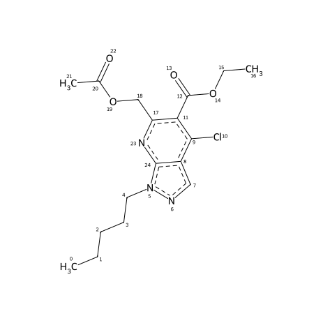 CCCCCn1ncc2c(Cl)c(C(=O)OCC)c(COC(C)=O)nc21